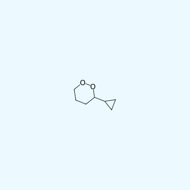 C1COOC(C2CC2)C1